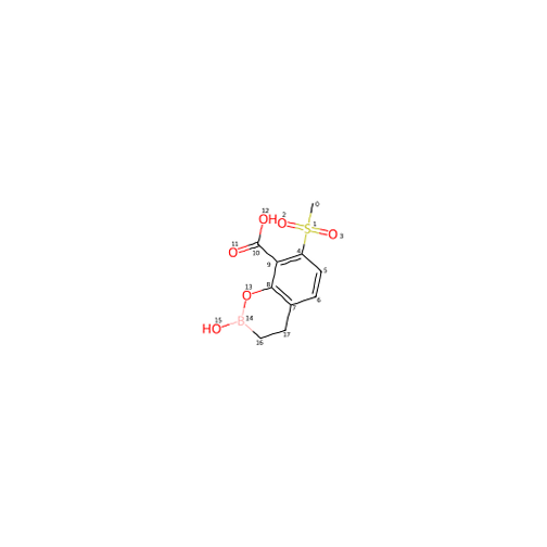 CS(=O)(=O)c1ccc2c(c1C(=O)O)OB(O)CC2